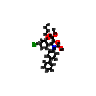 CCCCOc1cc(Br)ccc1[C@@H]1[C@@H](C(=O)OC)OC(=O)N1c1ccc(-c2ccccc2)cc1